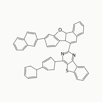 C1=CCC(C2=CCC(c3nc(C4=Cc5ccccc5C5Oc6cc(-c7ccc8ccccc8c7)ccc6C45)nc4c3sc3ccccc34)C=C2)C=C1